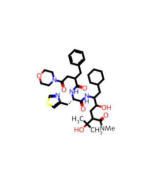 CNC(=O)C(CC(O)C(CC1CCCCC1)NC(=O)[C@H](Cc1cscn1)NC(=O)C(CC(=O)N1CCOCC1)Cc1ccccc1)C(C)(C)O